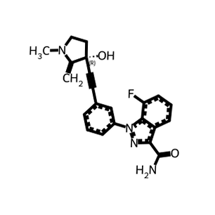 C=C1N(C)CC[C@@]1(O)C#Cc1cccc(-n2nc(C(N)=O)c3cccc(F)c32)c1